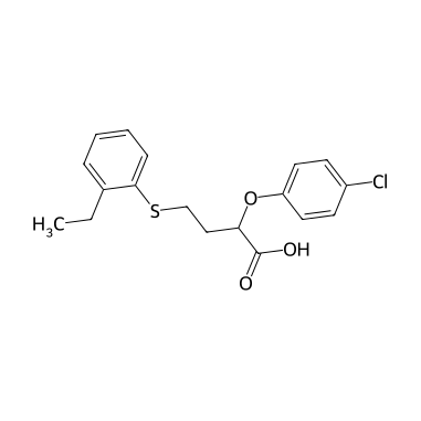 CCc1ccccc1SCCC(Oc1ccc(Cl)cc1)C(=O)O